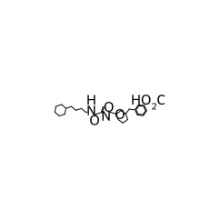 O=C(NCCCCC1CCCCC1)c1coc(C2CC3(Cc4ccccc4C(=O)O)CCC2O3)n1